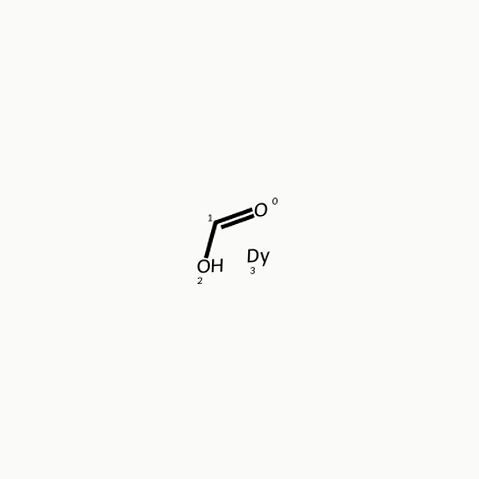 O=CO.[Dy]